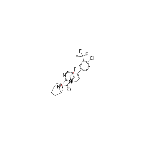 O=C(CN1C2CCC1CN(c1ncc(F)cn1)C2)N1CC=C(c2ccc(Cl)c(C(F)(F)F)c2)CC1